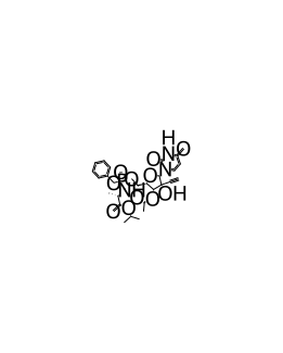 C#C[C@]1(O)C(n2ccc(=O)[nH]c2=O)O[C@H](COP(=O)(N[C@@H](C)C(=O)OC(C)C)Oc2ccccc2)[C@H]1OC(C)=O